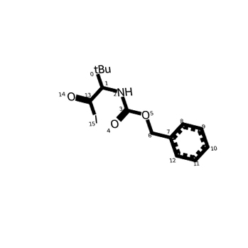 CC(C)(C)C(NC(=O)OCc1ccccc1)C(=O)I